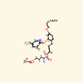 COCCOc1ccc(CCCS(=O)(=O)NCCCOC(C)C)c(Oc2ncc(C(F)(F)F)cc2Cl)c1